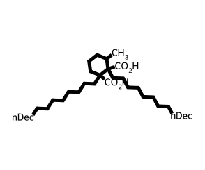 CCCCCCCCCCCCCCCCCCC1(C(=O)O)CCCC(C)C1(CCCCCCCCCCCCCCCCCC)C(=O)O